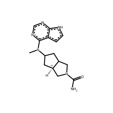 CN(c1ncnc2[nH]ccc12)C1CC2CN(C(N)=O)C[C@H]2C1